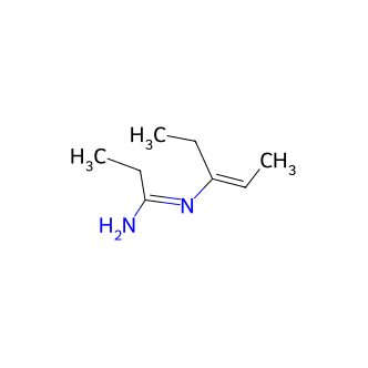 C/C=C(CC)/N=C(/N)CC